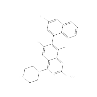 COc1nc(N2CCNCC2)c2cc(Cl)c(-c3cc(O)cc4ccccc34)c(F)c2n1